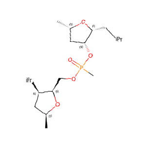 CC(C)C[C@H]1O[C@@H](C)C[C@H]1OP(C)(=O)OC[C@H]1O[C@@H](C)C[C@H]1C(C)C